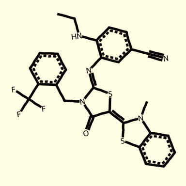 CCNc1ccc(C#N)cc1N=C1SC(=C2Sc3ccccc3N2C)C(=O)N1Cc1ccccc1C(F)(F)F